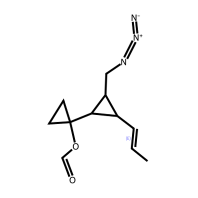 C/C=C/C1C(CN=[N+]=[N-])C1C1(OC=O)CC1